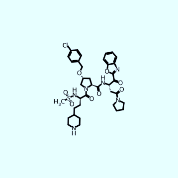 CS(=O)(=O)N[C@H](CCC1CCNCC1)C(=O)N1C[C@H](OCc2ccc(Cl)cc2)C[C@H]1C(=O)N[C@@H](CC(=O)N1CCCC1)C(=O)c1nc2ccccc2o1